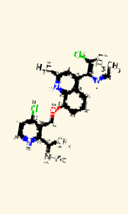 C/C=N\C(=C(/C)Cl)c1cc(C)nc2c(OCc3c(Cl)ccnc3C(C)NC(C)=O)cccc12